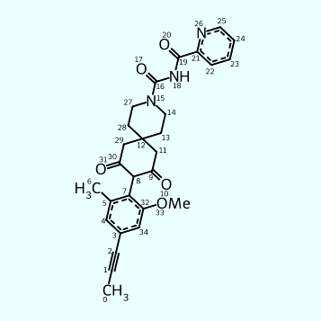 CC#Cc1cc(C)c(C2C(=O)CC3(CCN(C(=O)NC(=O)c4ccccn4)CC3)CC2=O)c(OC)c1